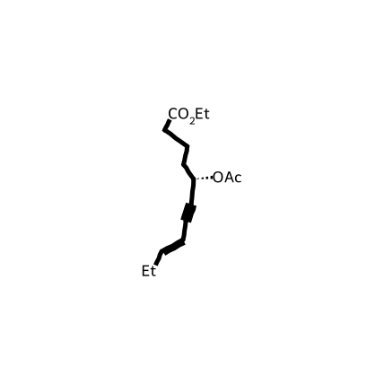 CC/C=C/C#C[C@H](CCCC(=O)OCC)OC(C)=O